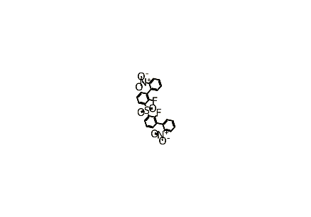 O=[N+]([O-])c1ccccc1-c1cccc(S(=O)(=O)c2cccc(-c3ccccc3[N+](=O)[O-])c2F)c1F